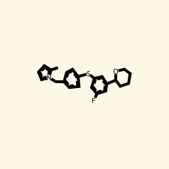 Cc1cccn1Cc1ccc(Sc2cc(F)cc(C3CCCCO3)c2)cc1